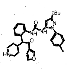 Cc1ccc(-n2nc(C(C)(C)C)cc2NC(=O)Nc2ccccc2C(C(=O)c2ccoc2)C2CCNCC2)cc1